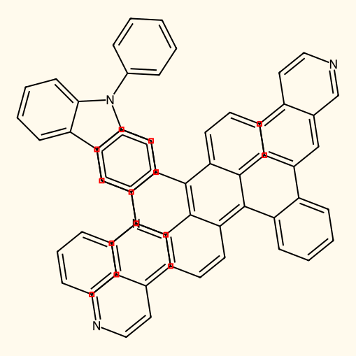 c1ccc(N(c2ccc3c(c2)c2ccccc2n3-c2ccccc2)c2cccc3c(-c4ccccc4-c4ccc5ccncc5c4)c4ccccc4c(-c4ccccc4-c4ccc5ccncc5c4)c23)cc1